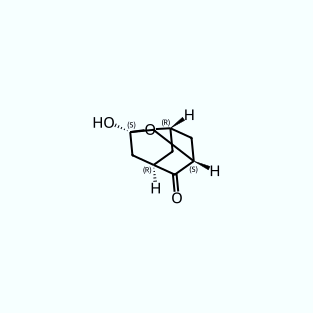 O=C1[C@@H]2C[C@H]3C[C@H]1C[C@@](O)(C2)O3